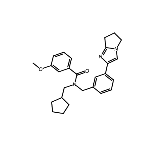 COc1cccc(C(=O)N(Cc2cccc(-c3cn4c(n3)CCC4)c2)CC2CCCC2)c1